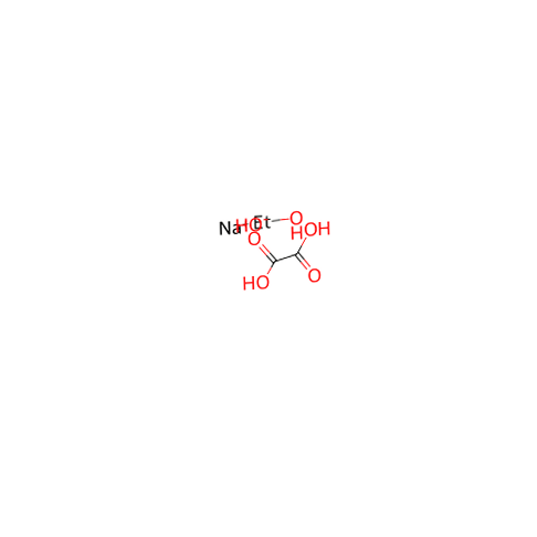 CCO.O=C(O)C(=O)O.[Na+].[OH-]